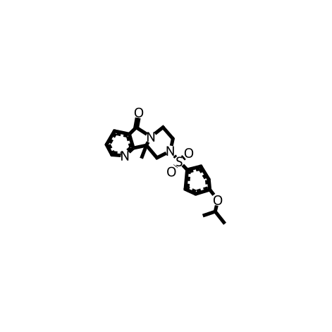 CC(C)Oc1ccc(S(=O)(=O)N2CCN3C(=O)c4cccnc4C3(C)C2)cc1